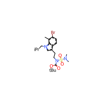 Cc1c(Br)ccc2c(CCN(C(=O)OC(C)(C)C)S(=O)(=O)N(C)C)cn(CC(C)C)c12